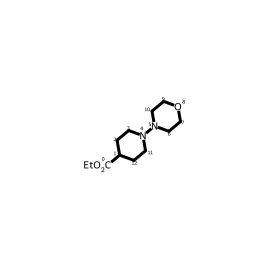 CCOC(=O)C1CCN(N2CCOCC2)CC1